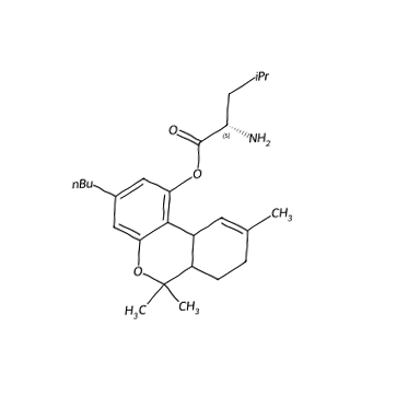 CCCCc1cc(OC(=O)[C@@H](N)CC(C)C)c2c(c1)OC(C)(C)C1CCC(C)=CC21